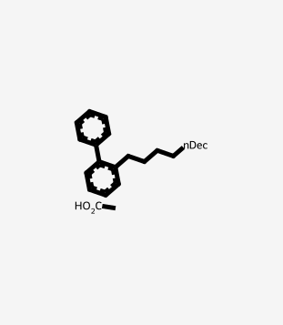 CC(=O)O.CCCCCCCCCCCCCCc1ccccc1-c1ccccc1